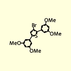 COc1cc(OC)cc(-c2cc(Br)c(-c3cc(OC)cc(OC)c3)s2)c1